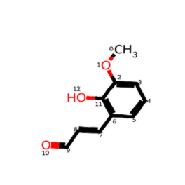 COc1cccc(C=CC=O)c1O